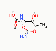 CC(OC(N)=O)C(O)CNC(=O)O